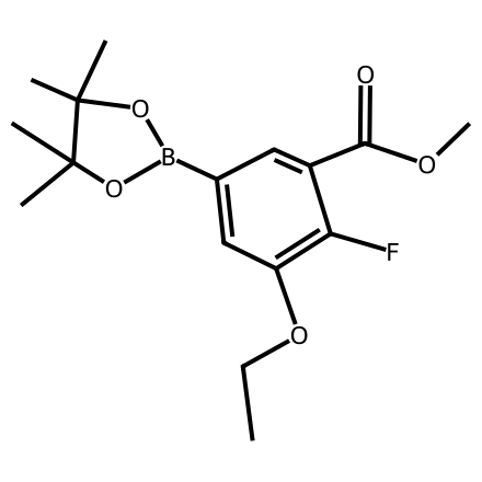 CCOc1cc(B2OC(C)(C)C(C)(C)O2)cc(C(=O)OC)c1F